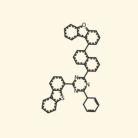 C1=CCC(c2nc(-c3cccc4c(-c5cccc6oc7ccccc7c56)cccc34)nc(-c3cccc4c3sc3ccccc34)n2)C=C1